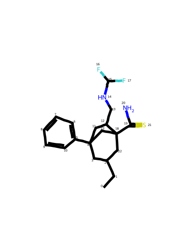 CCC1CC2(c3ccccc3)CC(CNC(F)F)C(C(N)=S)(C1)C2